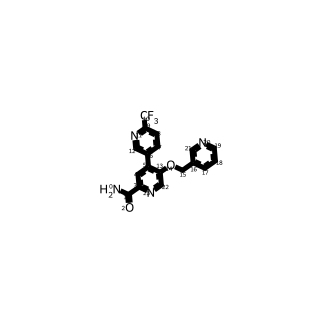 NC(=O)c1cc(-c2ccc(C(F)(F)F)nc2)c(OCc2cccnc2)cn1